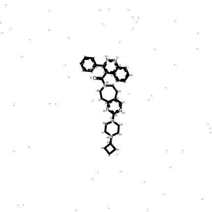 O=C(c1c(-c2ccccc2)nnc2ccccc12)N1CCc2cnc(N3CCN(C4CCC4)CC3)nc2CC1